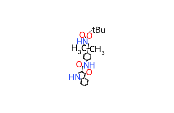 CC(C)(C)COC(=O)NCC(C)(C)c1ccc(NC(=O)c2c[nH]c3ccccc3c2=O)cc1